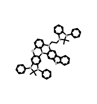 CC1(C)N(CCN2c3cc4c(cc3B3c5cc6c(cc5Oc5cccc2c53)N(c2ccccc2)C(C)(C)N6c2ccccc2)sc2ccccc24)c2ccccc2N1c1ccccc1